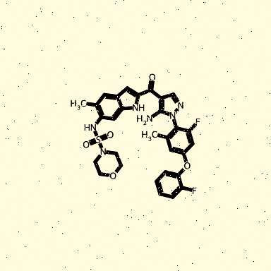 Cc1cc2cc(C(=O)c3cnn(-c4c(C)cc(Oc5ccccc5F)cc4F)c3N)[nH]c2cc1NS(=O)(=O)N1CCOCC1